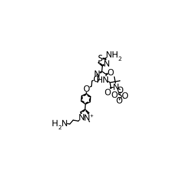 C[n+]1cc(-c2ccc(OCCON=C(C(=O)NC3C(=O)N(OS(=O)(=O)[O-])C3(C)C)c3csc(N)n3)cc2)cn1CCCN